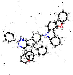 c1ccc(-c2nc(-c3ccccc3)c3c(n2)-c2ccc(-n4c5ccccc5c5c6oc7ccccc7c6ccc54)cc2[Si]3(c2ccccc2)c2ccccc2)cc1